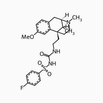 COc1ccc2c(c1)[C@@]1(CCNC(=O)NS(=O)(=O)c3ccc(F)cc3)CCN(C)[C@H](C2)[C@@H]1C